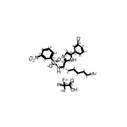 CC(=O)CCCCC[C@H](NS(=O)(=O)c1cccc([N+](=O)[O-])c1)c1ncc(-c2cccc(Cl)c2)[nH]1.O=C(O)C(F)(F)F